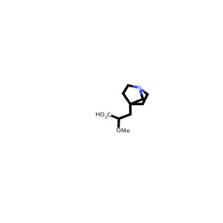 COC(CC12CCN(CC1)C2)C(=O)O